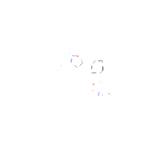 O=C1CN(c2c(O)ccc(-c3cc(C4CC4(F)F)no3)c2F)S(=O)(=O)N1